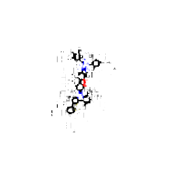 Bc1c(B)c(B)c(-c2nc(-c3c(B)c(B)c(B)c(B)c3B)nc(-c3c(B)c(B)c4c(oc5c(B)c(-n6c7c(B)c(B)c(B)c(B)c7c7c8sc9c(B)c(B)c(B)c(B)c9c8c(B)c(B)c76)c(B)c(B)c54)c3B)n2)c(B)c1B